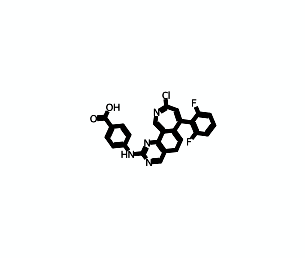 O=C(O)c1ccc(Nc2ncc3c(n2)C2=CN=C(Cl)C=C(c4c(F)cccc4F)C2=CC3)cc1